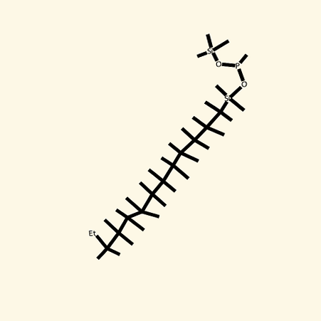 CCC(C)(C)C(C)(C)C(C)(C)C(C)(C)C(C)(C)C(C)(C)C(C)(C)C(C)(C)C(C)(C)C(C)(C)C(C)(C)[Si](C)(C)OP(C)O[Si](C)(C)C